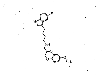 COc1ccc2c(c1)OC(CNCCCCc1c[nH]c3ccc(F)cc13)CO2